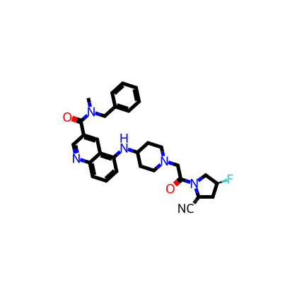 CN(Cc1ccccc1)C(=O)c1cnc2cccc(NC3CCN(CC(=O)N4C[C@@H](F)CC4C#N)CC3)c2c1